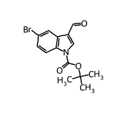 CC(C)(C)OC(=O)n1cc(C=O)c2cc(Br)ccc21